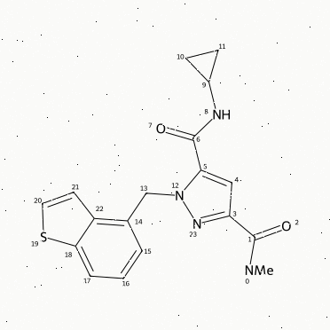 CNC(=O)c1cc(C(=O)NC2CC2)n(Cc2cccc3sccc23)n1